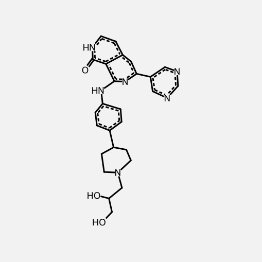 O=c1[nH]ccc2cc(-c3cncnc3)nc(Nc3ccc(C4CCN(CC(O)CO)CC4)cc3)c12